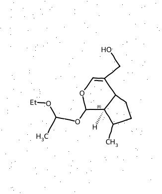 CCOC(C)OC1OC=C(CO)C2CCC(C)[C@@H]12